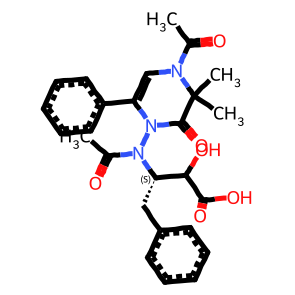 CC(=O)N([C@@H](Cc1ccccc1)C(O)C(=O)O)N1C(=O)C(C)(C)N(C(C)=O)C=C1c1ccccc1